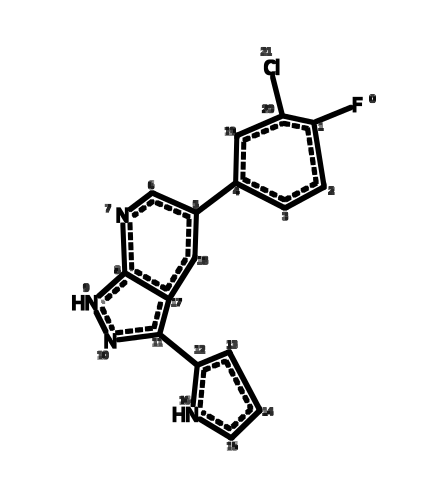 Fc1ccc(-c2cnc3[nH]nc(-c4ccc[nH]4)c3c2)cc1Cl